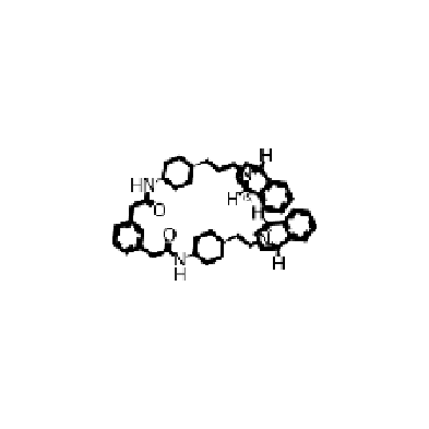 O=C(Cc1cccc(CC(=O)N[C@H]2CC[C@H](CCN3[C@@H]4CC[C@H]3c3ccccc34)CC2)c1)N[C@H]1CC[C@H](CCCN2[C@@H]3CC[C@H]2c2ccccc23)CC1